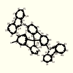 Cc1cc2c(cc1C)C1(c3cc(-n4c5ccccc5c5ccccc54)ccc3-c3ccc(-n4c5ccccc5c5ccccc54)cc31)c1sccc1-2